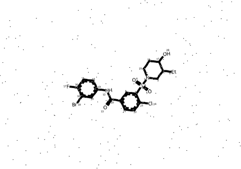 CCC1CN(S(=O)(=O)c2cc(C(=O)Nc3ccc(F)c(Br)c3)ccc2Cl)CCC1O